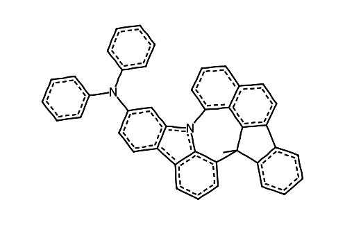 CC12c3ccccc3-c3ccc4cccc(c4c31)-n1c3cc(N(c4ccccc4)c4ccccc4)ccc3c3cccc2c31